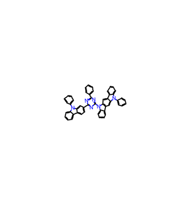 c1ccc(-c2nc(-c3ccc4c5ccccc5n(-c5ccccc5)c4c3)nc(-n3c4ccccc4c4cc5c(cc43)c3ccccc3n5-c3ccccc3)n2)cc1